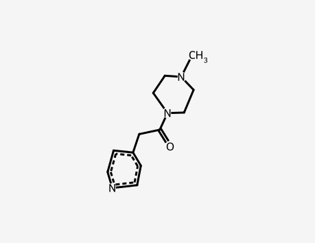 CN1CCN(C(=O)Cc2ccncc2)CC1